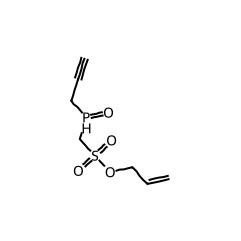 C#CC[PH](=O)CS(=O)(=O)OCC=C